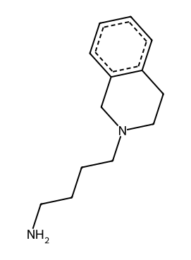 NCCCCN1CCc2ccccc2C1